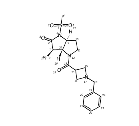 CC(C)[C@H]1C(=O)N(S(C)(=O)=O)[C@H]2CCN(C(=O)C3CN(Cc4ccccc4)C3)[C@H]12